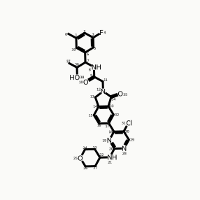 Cc1cc(F)cc(C(NC(=O)CN2Cc3ccc(-c4nc(NC5CCOCC5)ncc4Cl)cc3C2=O)C(C)O)c1